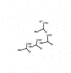 CCCCC(CC)C(=O)[O-].CCCCC(CC)C(=O)[O-].CCCCC(CC)C(=O)[O-].CCCCC(CC)C(=O)[O-].[Si+4]